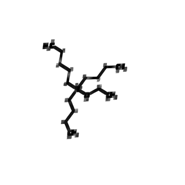 CCCCC[N+](CCCC)(CCCC)OCC